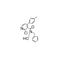 Cc1ccc(-c2ccnc(Cl)c2C(=O)N(CCO)Cc2ccccc2)cc1